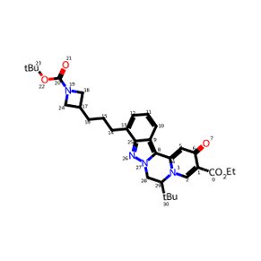 CCOC(=O)c1cn2c(cc1=O)-c1c3cccc(CCCC4CN(C(=O)OC(C)(C)C)C4)c3nn1CC2C(C)(C)C